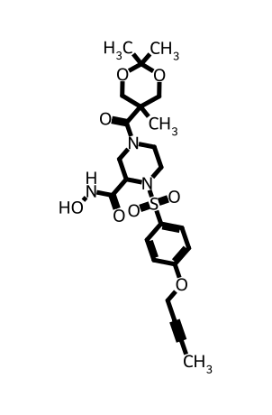 CC#CCOc1ccc(S(=O)(=O)N2CCN(C(=O)C3(C)COC(C)(C)OC3)CC2C(=O)NO)cc1